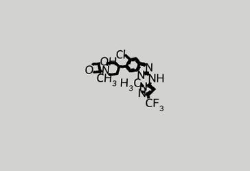 Cn1nc(C(F)(F)F)cc1Nc1ncc2cc(Cl)c(C3CCN([C@]4(C)COCC4O)CC3)cc2n1